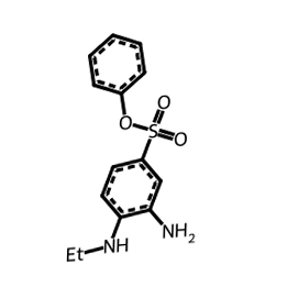 CCNc1ccc(S(=O)(=O)Oc2ccccc2)cc1N